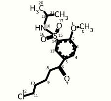 COc1ccc(C(=O)CCCCCl)cc1S(=O)(=O)NC(C)C